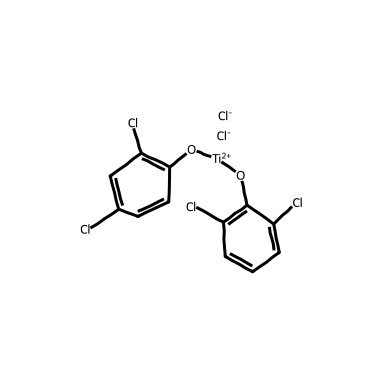 Clc1ccc([O][Ti+2][O]c2c(Cl)cccc2Cl)c(Cl)c1.[Cl-].[Cl-]